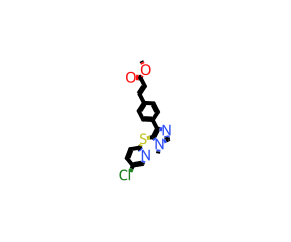 COC(=O)/C=C/c1ccc(-c2ncn(C)c2Sc2ccc(Cl)cn2)cc1